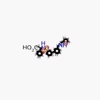 O=C(O)C[C@@H](NS(=O)(=O)c1cccc(-c2cccc(CNCC3CCCO3)c2)c1)c1ccccc1